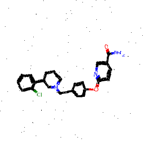 NC(=O)c1ccc(Oc2ccc(CN3CCCC(c4ccccc4Cl)C3)cc2)nc1